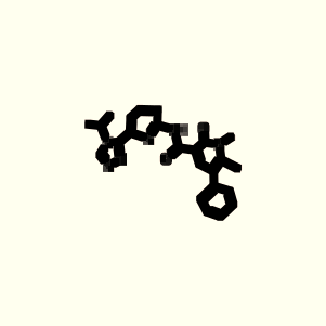 Cc1c(-c2ccccc2)cc(C(=O)Nc2cccc(-c3nncn3C(C)C)n2)c(=O)n1C